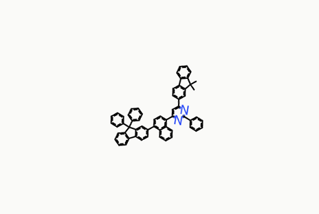 CC1(C)c2ccccc2-c2ccc(-c3cc(-c4ccc(-c5ccc6c(c5)C(c5ccccc5)(c5ccccc5)c5ccccc5-6)c5ccccc45)nc(-c4ccccc4)n3)cc21